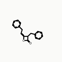 O=C1O/C(=C/Cc2ccccc2)C1Cc1ccccc1